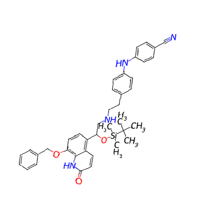 CC(C)(C)[Si](C)(C)OC(CNCCc1ccc(Nc2ccc(C#N)cc2)cc1)c1ccc(OCc2ccccc2)c2[nH]c(=O)ccc12